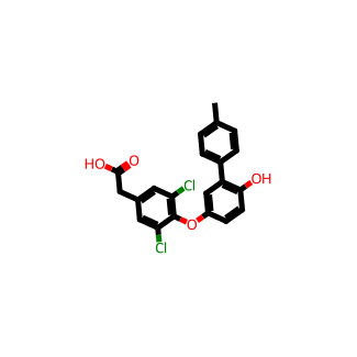 Cc1ccc(-c2cc(Oc3c(Cl)cc(CC(=O)O)cc3Cl)ccc2O)cc1